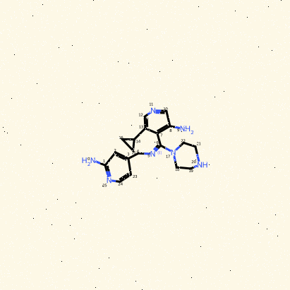 Nc1cc(C/N=C(\c2c(N)cncc2C2CC2)N2CCNCC2)ccn1